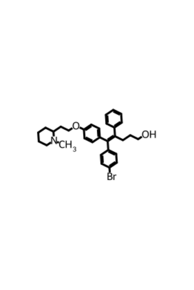 CN1CCCCC1CCOc1ccc(/C(=C(/CCCO)c2ccccc2)c2ccc(Br)cc2)cc1